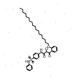 CCCCCCCCCCCCCCCCCCOc1ccccc1C(=O)C(Cl)C(=O)Nc1ccc(S(=O)(=O)Nc2ccccc2)cc1